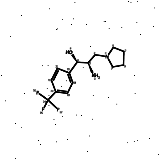 N[C@H](CN1CCCC1)[C@H](O)c1ccc(C(F)(F)F)cc1